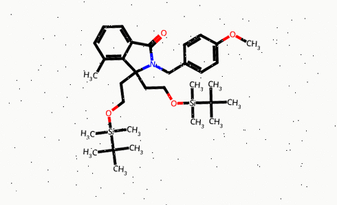 COc1ccc(CN2C(=O)c3cccc(C)c3C2(CCO[Si](C)(C)C(C)(C)C)CCO[Si](C)(C)C(C)(C)C)cc1